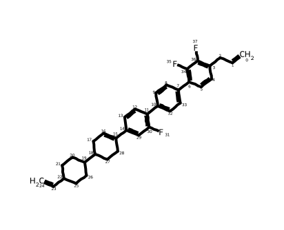 C=CCc1ccc(-c2ccc(-c3ccc(C4=CCC(C5CCC(C=C)CC5)CC4)cc3F)cc2)c(F)c1F